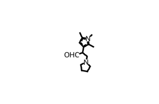 Cc1cc(C(C=O)CN2CCCC2)c(C)n1C